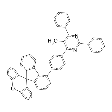 Cc1c(-c2ccccc2)nc(-c2ccccc2)nc1-c1ccc(-c2cccc3c2-c2ccccc2C32c3ccccc3Oc3ccccc32)cc1